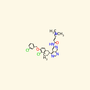 CCC(Cc1ccc(OCc2cccc(Cl)c2)c(Cl)c1)c1ncnc2cnc(NC(=O)/C=C/CN(C)C)cc12